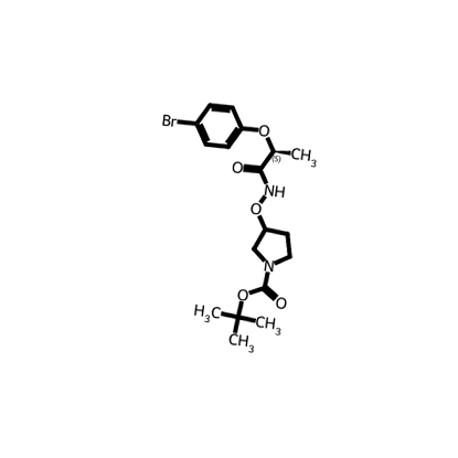 C[C@H](Oc1ccc(Br)cc1)C(=O)NOC1CCN(C(=O)OC(C)(C)C)C1